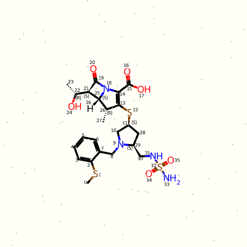 CSc1ccccc1CN1C[C@@H](SC2=C(C(=O)O)N3C(=O)[C@H]([C@@H](C)O)[C@H]3[C@H]2C)C[C@H]1CNS(N)(=O)=O